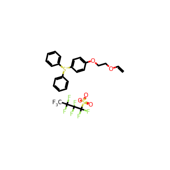 C=COCCOc1ccc([S+](c2ccccc2)c2ccccc2)cc1.O=S(=O)([O-])C(F)(F)C(F)(F)C(F)(F)C(F)(F)F